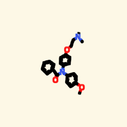 COc1ccc(N(C(=O)c2ccccc2)c2ccc(OCCN(C)C)cc2)cc1